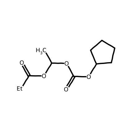 CCC(=O)OC(C)OC(=O)OC1CCCC1